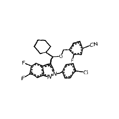 N#Cc1ccc(COC(c2c3cc(F)c(F)cc3nn2-c2ccc(Cl)cc2)C2CCCCC2)c(F)c1